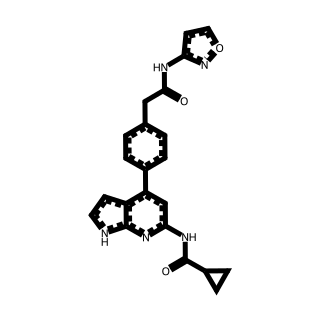 O=C(Cc1ccc(-c2cc(NC(=O)C3CC3)nc3[nH]ccc23)cc1)Nc1ccon1